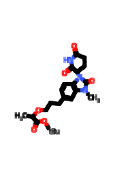 CC(OCCCc1ccc2c(c1)n(C)c(=O)n2C1CCC(=O)NC1=O)C(=O)OC(C)(C)C